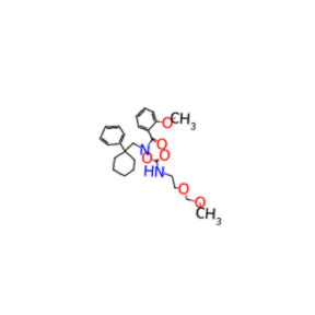 COCOCCNC(=O)ON(CC1(c2ccccc2)CCCCC1)C(=O)c1ccccc1OC